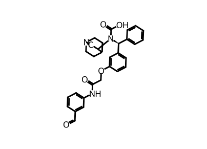 O=Cc1cccc(NC(=O)COc2cccc([C@H](c3ccccc3)N(C(=O)O)C3CN4CCC3CC4)c2)c1